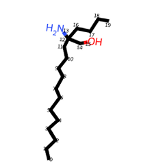 CCCCCCCCCCCCC(N)(CO)CCCC